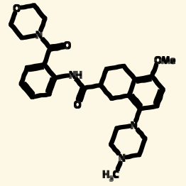 COc1ccc(N2CCN(C)CC2)c2c1CCC(C(=O)Nc1ccccc1C(=O)N1CCOCC1)C2